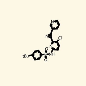 CC(C)(C)c1ccc(S(=O)(=O)Nc2ccc(Cl)c(C3N=C3c3cccnc3)n2)cc1